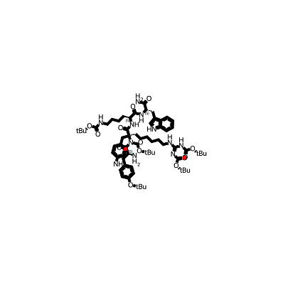 CC(C)(C)OC(=O)N=C(NCCCCCC[C@](Cc1ccc(N)cc1)(C(=O)N[C@@H](CCCCNC(=O)OC(C)(C)C)C(=O)N[C@@H](Cc1c[nH]c2ccccc12)C(N)=O)N(C(=O)OC(C)(C)C)C(=O)[C@@H](N)Cc1ccc(OC(C)(C)C)cc1)NC(=O)OC(C)(C)C